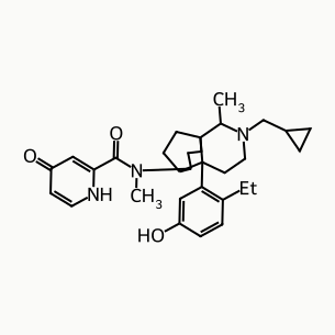 CCc1ccc(O)cc1C12CCN(CC3CC3)C(C)C13CCC(N(C)C(=O)c1cc(=O)cc[nH]1)C2CC3